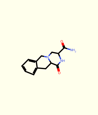 NC(=O)C1CN2Cc3ccccc3CC2C(=O)N1